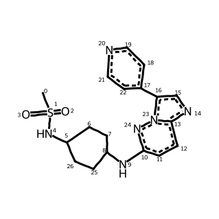 CS(=O)(=O)NC1CCC(Nc2ccc3ncc(-c4ccncc4)n3n2)CC1